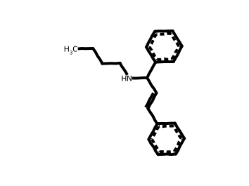 CCCCNC(C=Cc1ccccc1)c1ccccc1